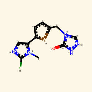 Cn1c(-c2ccc(Cn3cn[nH]c3=O)s2)cnc1Cl